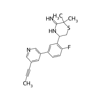 CC#Cc1cncc(-c2ccc(F)c(C3CSC(C)(C)C(=N)N3)c2)c1